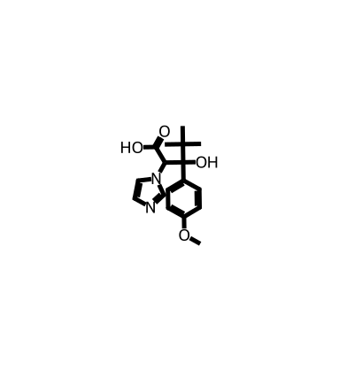 COc1ccc(C(O)(C(C(=O)O)n2ccnc2)C(C)(C)C)cc1